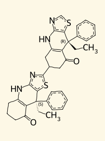 CC[C@@]1(c2ccccc2)C2=C(CC(c3nc4c(s3)[C@@](CC)(c3ccccc3)C3=C(CCCC3=O)N4)CC2=O)Nc2ncsc21